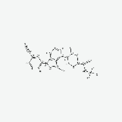 C[C@H]1CN(C(=O)OC(C)(C)C)CCN1c1ncnc2c1c(I)cn2-c1cc(C#N)ccn1